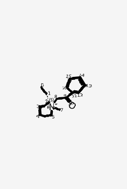 CC[C@H]1CCC[N+]1(C)CC(=O)c1ccccc1